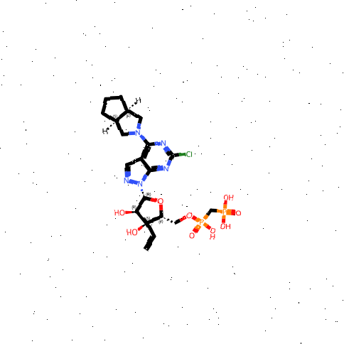 C=C[C@@]1(O)[C@@H](COP(=O)(O)CP(=O)(O)O)O[C@@H](n2ncc3c(N4C[C@H]5CCC[C@H]5C4)nc(Cl)nc32)[C@@H]1O